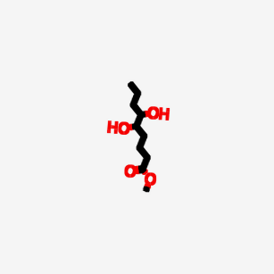 CCCC(O)C(O)CCCC(=O)OC